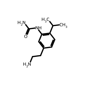 CC(C)c1ccc(CCN)cc1NC(N)=O